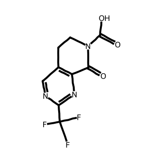 O=C(O)N1CCc2cnc(C(F)(F)F)nc2C1=O